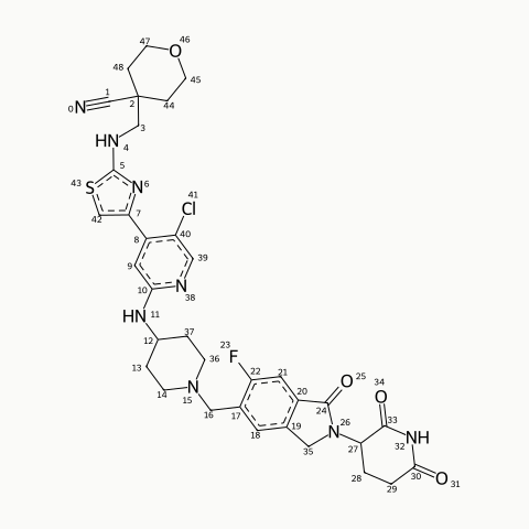 N#CC1(CNc2nc(-c3cc(NC4CCN(Cc5cc6c(cc5F)C(=O)N(C5CCC(=O)NC5=O)C6)CC4)ncc3Cl)cs2)CCOCC1